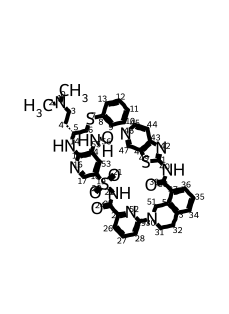 CN(C)CC[C@H](CSc1ccccc1)Nc1ncc(S(=O)(=O)NC(=O)c2cccc(N3CCc4cccc(C(=O)Nc5nc6ccncc6s5)c4C3)n2)cc1NO